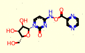 O=C(ONc1ccn([C@@H]2O[C@H](CO)[C@@H](O)[C@H]2O)c(=O)n1)c1cnccn1